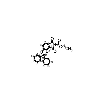 CCOC(=O)N1C(=O)c2ccc3c(c2C1=O)OC(c1ccccc1)(c1ccccc1)O3